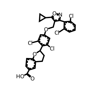 O=C(O)c1ccc2c(c1)CCC(c1c(Cl)cc(OCc3c(-c4c(Cl)cccc4Cl)noc3C3CC3)cc1Cl)O2